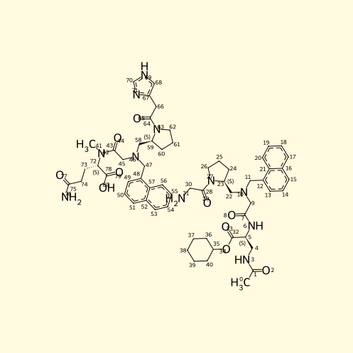 CC(=O)NC[C@H](NC(=O)CN(Cc1cccc2ccccc12)C[C@@H]1CCCN1C(=O)CN)C(=O)OC1CCCCC1.CN(C(=O)CN(Cc1cccc2ccccc12)C[C@@H]1CCCN1C(=O)Cc1c[nH]cn1)[C@@H](CCC(N)=O)C(=O)O